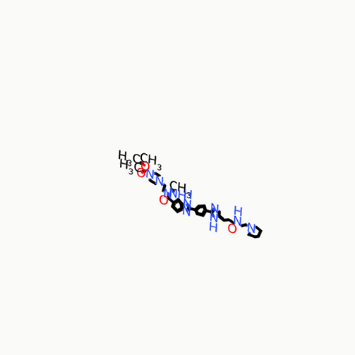 CNN(CCN1CCN(C(=O)OC(C)(C)C)CC1)C(=O)c1ccc2nc(-c3ccc(C4=NC/C(=C\CC(=O)NCCN5CCCCC5)N4)cc3)[nH]c2c1